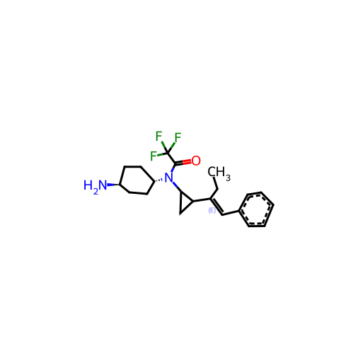 CC/C(=C\c1ccccc1)C1CC1N(C(=O)C(F)(F)F)[C@H]1CC[C@H](N)CC1